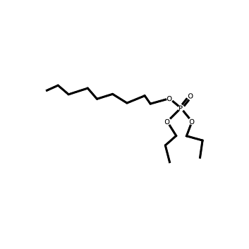 CCCCCCCCCOP(=O)(OCCC)OCCC